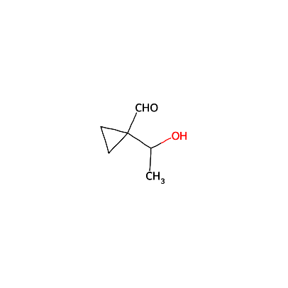 CC(O)C1(C=O)CC1